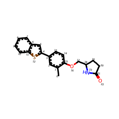 Cc1cc(-c2cc3ccccc3s2)ccc1OCC1CCC(=O)N1